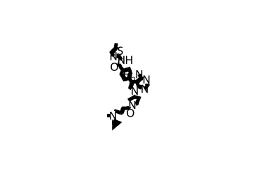 Cc1cnc(NC(=O)c2ccc(-c3cn([C@@H]4CCN(C(=O)/C=C/CN(C)C5CC5)C4)c4ncnc(N)c34)cc2)s1